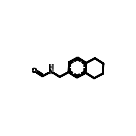 O=CNCc1ccc2c(c1)CCCC2